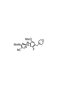 CNc1nc(Nc2cc(F)c(CN3CCOCC3)cc2OC)ncc1C#N